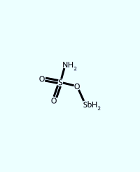 NS(=O)(=O)[O][SbH2]